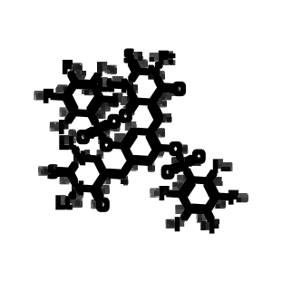 CCN1C/C(=C\c2cc(OS(=O)(=O)c3c(F)c(F)c(F)c(F)c3F)c(C=C3C(=O)N(CC)C(=S)N(CC)C3=O)cc2OS(=O)(=O)c2c(F)c(F)c(F)c(F)c2F)C(=O)N(CC)C1=S